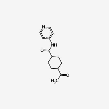 CC(=O)C1CCC(C(=O)Nc2ccncc2)CC1